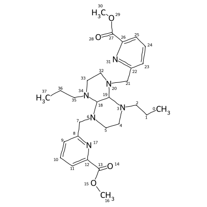 CCCN1CCN(Cc2cccc(C(=O)OC)n2)C2C1N(Cc1cccc(C(=O)OC)n1)CCN2CCC